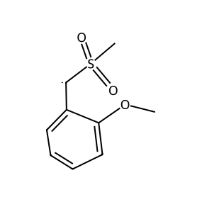 COc1ccccc1[CH]S(C)(=O)=O